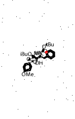 COc1ccc(S(=O)(=O)C(N)(OCC(C)C)[C@H](O)[C@H](Cc2ccccc2)NC(=O)OC(C)(C)C)cc1